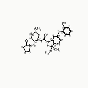 C[C@@H]1CN(CC(=O)N2CC(C)(C)c3ncc(Cc4ccccc4F)cc32)[C@@H](CN2CCCC2=O)CN1